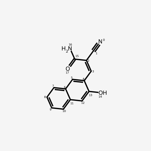 N#C/C(=C/c1cc2ccccc2cc1O)C(N)=O